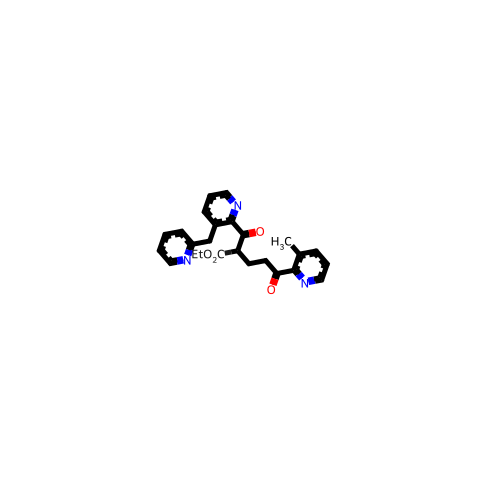 CCOC(=O)C(CCC(=O)c1ncccc1C)C(=O)c1ncccc1Cc1ccccn1